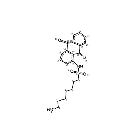 CCCCCCCCS(=O)(=O)Nc1cccc2c1C(=O)c1ccccc1C2=O